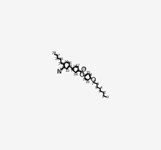 CCCCCCCCOc1ccc(OC(=O)c2ccc(-c3ccc(CCCCC)c(C#N)c3)cc2)cc1